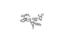 CO[C@H]1[C@@H](C(=O)NCc2cccc(Cl)c2F)N(C(=O)Cn2nc(C(N)=O)c3cnccc32)C[C@@H]1F